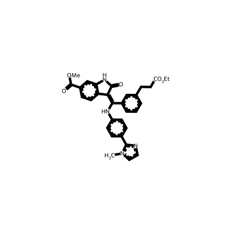 CCOC(=O)CCc1cccc(C(Nc2ccc(-c3nccn3C)cc2)=C2C(=O)Nc3cc(C(=O)OC)ccc32)c1